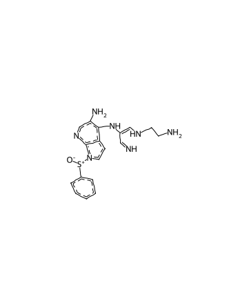 N=C/C(=C\NCCN)Nc1c(N)cnc2c1ccn2[S+]([O-])c1ccccc1